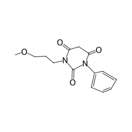 COCCCN1C(=O)CC(=O)N(c2ccccc2)C1=O